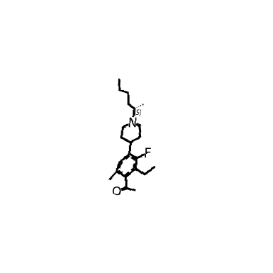 CCCC[C@H](C)N1CCC(c2cc(C)c(C(C)=O)c(CC)c2F)CC1